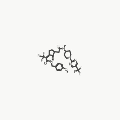 COc1ccc(Cn2nc3c(c(C(F)(F)F)c2=O)CCC3CC(=O)N(C)C2CCN(c3ncc(C(F)(F)F)cn3)CC2)cc1